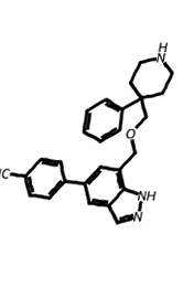 N#Cc1ccc(-c2cc(COCC3(c4ccccc4)CCNCC3)c3[nH]ncc3c2)cc1